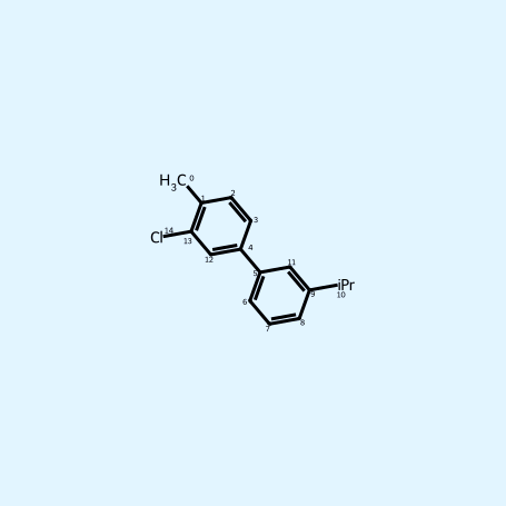 Cc1ccc(-c2cccc(C(C)C)c2)cc1Cl